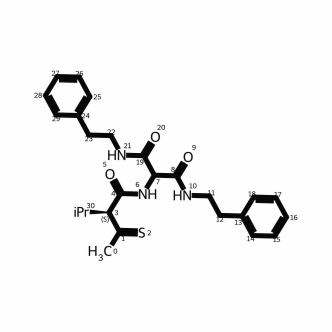 CC(=S)[C@H](C(=O)NC(C(=O)NCCc1ccccc1)C(=O)NCCc1ccccc1)C(C)C